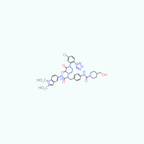 O=C(O)c1cc2cc(NC(=O)C(Cc3ccc(NC(=O)N4CCC(CO)CC4)cc3)N3CCN(c4cc(Cl)ccc4-n4cnnn4)C(=O)C3=O)ccc2n1C(=O)O